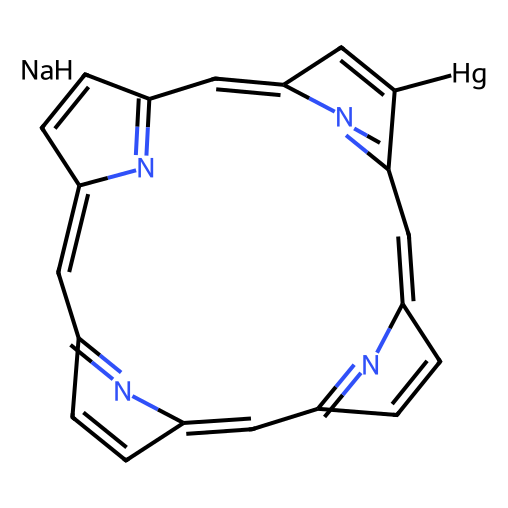 [Hg][C]1=CC2=CC3=NC(=CC4=NC(=CC5=NC(=CC1=N2)C=C5)C=C4)C=C3.[NaH]